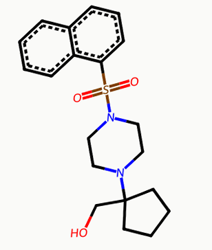 O=S(=O)(c1cccc2ccccc12)N1CCN(C2(CO)CCCC2)CC1